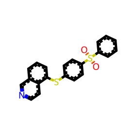 O=S(=O)(c1ccccc1)c1ccc(Sc2cccc3cnccc23)cc1